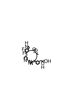 Cn1nc2nc1-c1cc(ccn1)Sc1c(F)c(F)c3[nH]ccc3c1CCS(=O)(=O)CC(C)(C)CCC[C@]2(C)c1cccc(C[C@@H](O)CO)c1